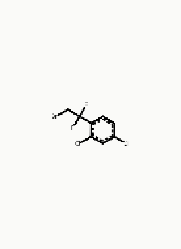 FC(F)(CBr)c1ccc(Cl)cc1Cl